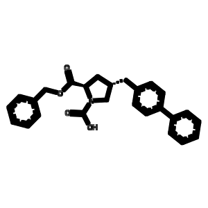 O=C(OCc1ccccc1)[C@H]1C[C@H](Cc2ccc(-c3ccccc3)cc2)CN1C(=O)O